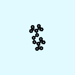 c1cc(-c2cccc(-c3cc(-n4c5ccccc5c5ccccc54)cc(-n4c5ccccc5c5ccccc54)c3)c2)cc(-c2cccc(-c3cc(-n4c5ccccc5c5ccccc54)cc(-n4c5ccccc5c5ccccc54)c3)c2)c1